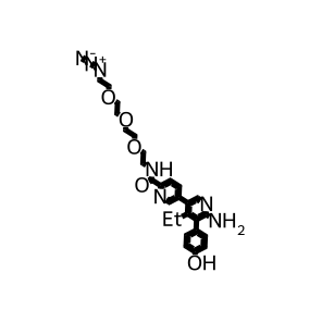 CCc1c(-c2ccc(C(=O)NCCOCCOCCOCCN=[N+]=[N-])nc2)cnc(N)c1-c1ccc(O)cc1